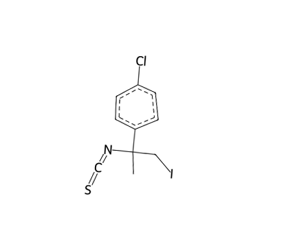 CC(CI)(N=C=S)c1ccc(Cl)cc1